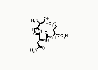 NC(=O)C[C@H](NC(=O)N[C@@H](CCC(=O)O)C(=O)O)c1nc([C@@H](N)CO)no1